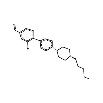 C=Cc1ccc(-c2ccc([C@H]3CC[C@H](CCCCC)CC3)cc2)c(F)c1